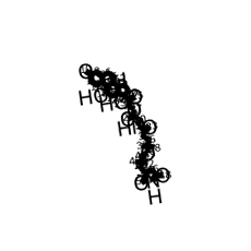 C[C@H]1C[C@H]2[C@@H]3CCC4=CC(=O)C=C[C@]4(C)[C@@]3(F)[C@@H](O)C[C@]2(C)[C@@]1(O)C(=O)COC(=O)CNC(=O)CCC(C)(C)OCC(C)(C)SC1CC(=O)NC1=O